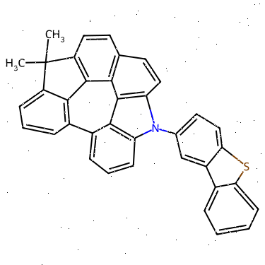 CC1(C)c2cccc3c2-c2c1ccc1ccc4c(c21)c1c-3cccc1n4-c1ccc2sc3ccccc3c2c1